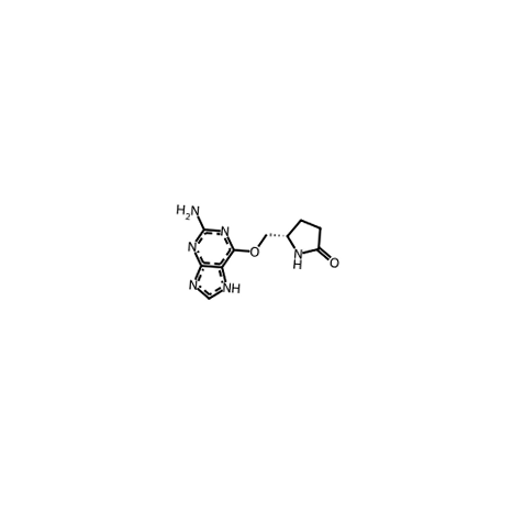 Nc1nc(OC[C@@H]2CCC(=O)N2)c2[nH]cnc2n1